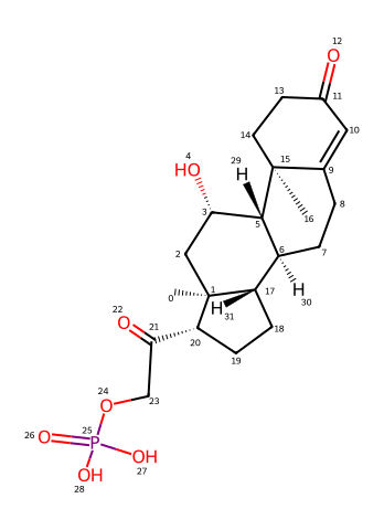 C[C@]12C[C@H](O)[C@H]3[C@@H](CCC4=CC(=O)CC[C@@]43C)[C@@H]1CC[C@@H]2C(=O)COP(=O)(O)O